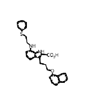 O=C(O)c1[nH]c2c(NCCSc3ccccc3)cccc2c1CCCOc1cccc2ccccc12